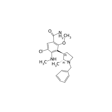 CNc1c(Cl)cc(C(N)=O)c(OC)c1[C@H]1CCN(Cc2ccccc2)[C@@H]1C